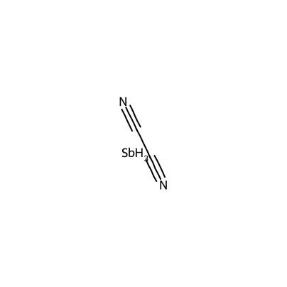 N#CC#N.[SbH3]